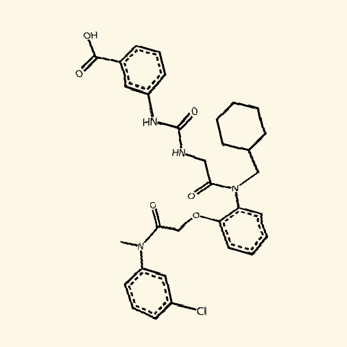 CN(C(=O)COc1ccccc1N(CC1CCCCC1)C(=O)CNC(=O)Nc1cccc(C(=O)O)c1)c1cccc(Cl)c1